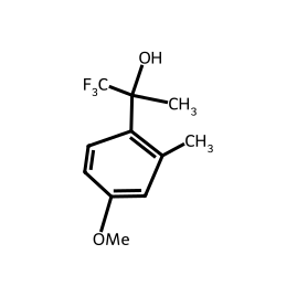 COc1ccc(C(C)(O)C(F)(F)F)c(C)c1